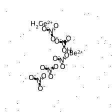 O=[N+]([O-])O.O=[N+]([O-])[O-].O=[N+]([O-])[O-].O=[N+]([O-])[O-].O=[N+]([O-])[O-].[Be+2].[GeH2+2]